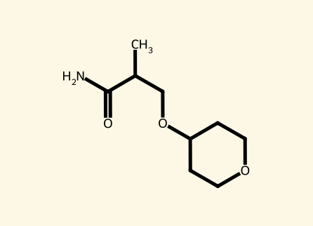 CC(COC1CCOCC1)C(N)=O